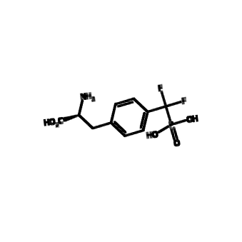 N[C@@H](Cc1ccc(C(F)(F)P(=O)(O)O)cc1)C(=O)O